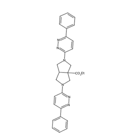 CCOC(=O)C12CN(c3ccc(-c4ccccc4)nn3)CC1CN(c1ccc(-c3ccccc3)nn1)C2